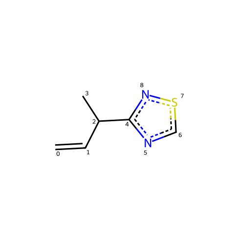 C=CC(C)c1ncsn1